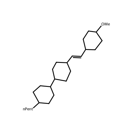 CCCCCC1CCC(C2CCC(/C=C/C3CCC(OC)CC3)CC2)CC1